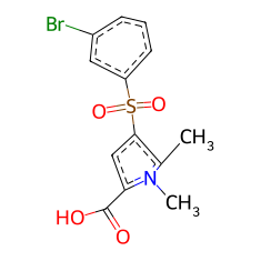 Cc1c(S(=O)(=O)c2cccc(Br)c2)cc(C(=O)O)n1C